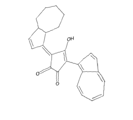 O=C1C(=O)/C(=C2\C=CC3CCCCCC23)C(O)=C1c1ccc2cccccc1-2